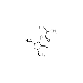 C=C1CC(C)C(=O)N1OC(=O)C(C)C